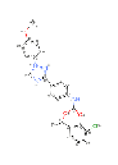 CCC(OC(=O)Nc1ccc(-c2ncn(-c3ccc(OC(F)(F)F)cc3)n2)cc1)c1cccc(Cl)c1